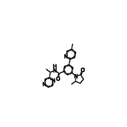 Cc1ccc(-c2cc(C(=O)NC(C)c3cnccn3)cc(N3C(=O)CCC3C)c2)nc1